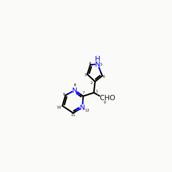 O=CC(c1cc[nH]c1)c1ncccn1